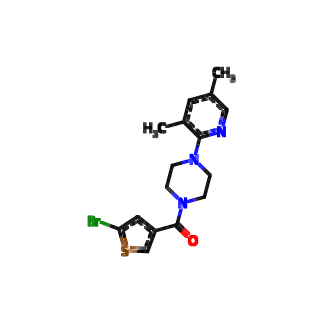 Cc1cnc(N2CCN(C(=O)c3csc(Br)c3)CC2)c(C)c1